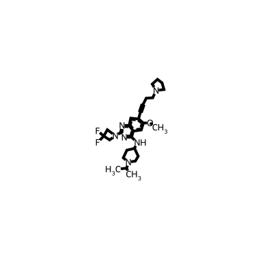 COc1cc2c(NC3CCN(C(C)C)CC3)nc(N3CC(F)(F)C3)nc2cc1C#CCCN1CCCC1